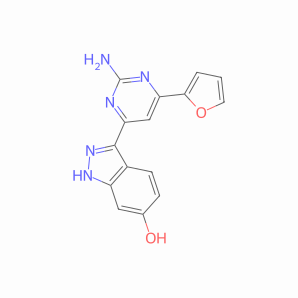 Nc1nc(-c2ccco2)cc(-c2n[nH]c3cc(O)ccc23)n1